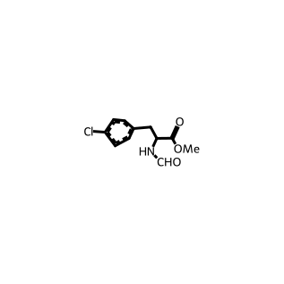 COC(=O)C(Cc1ccc(Cl)cc1)NC=O